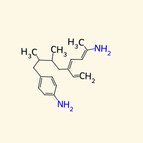 C=C/C(=C\C=C(/C)N)CC(C)C(C)Cc1ccc(N)cc1